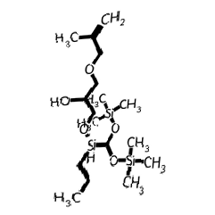 C=C(C)COCC(O)CO[SiH](CCC)C(O[Si](C)(C)C)O[Si](C)(C)C